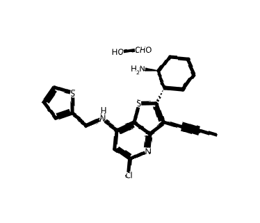 CC#Cc1c([C@H]2CCCC[C@@H]2N)sc2c(NCc3cccs3)cc(Cl)nc12.O=CO